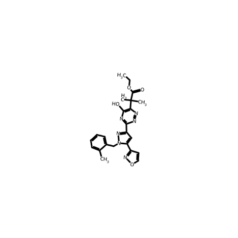 CCOC(=O)C(C)(C)c1nnc(-c2cc(-c3ccon3)n(Cc3ccccc3C)n2)nc1O